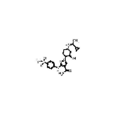 CC(N[C@@H]1CC[C@H](n2cc(C(N)=O)c(Nc3ccc(S(=O)(=O)C(F)(F)F)cc3)n2)C(=N)C1)C1CC1